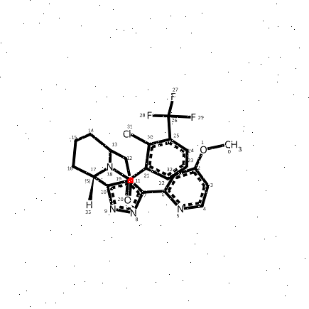 COc1ccnc(-c2nnc3n2CC2CCC[C@@H]3N2C(=O)c2cccc(C(F)(F)F)c2Cl)c1